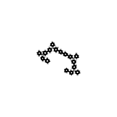 c1ccc(-c2cccc(N(c3ccccc3)c3ccc(-c4ccc(N(c5ccccc5)c5ccc(-c6ccc(-c7ccc(-c8ccc(N(c9ccccc9)c9ccc(-c%10ccc(N(c%11ccccc%11)c%11cccc(-c%12ccccc%12)c%11)cc%10)cc9)cc8)cc7)cc6)cc5)cc4)cc3)c2)cc1